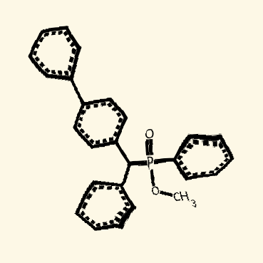 COP(=O)(c1ccccc1)C(c1ccccc1)c1ccc(-c2ccccc2)cc1